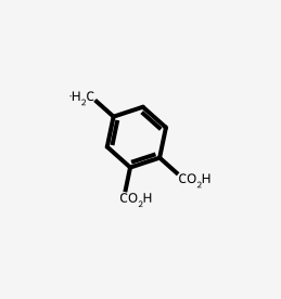 [CH2]c1ccc(C(=O)O)c(C(=O)O)c1